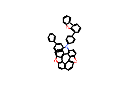 c1ccc(-c2cccc(N(c3ccc(-c4cccc5c4oc4ccccc45)cc3)c3ccc4oc5ccc6ccc7oc8cccc9c8c7c6c5c4c3-9)c2)cc1